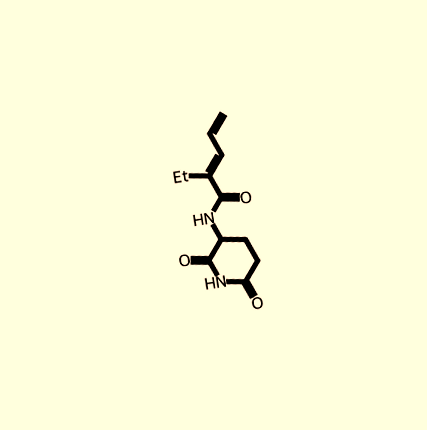 C=C/C=C(\CC)C(=O)NC1CCC(=O)NC1=O